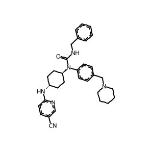 N#Cc1ccc(N[C@H]2CC[C@H](N(C(=O)NCc3ccccc3)c3ccc(CN4CCCCC4)cc3)CC2)nc1